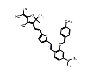 CCCCN(CCCC)c1ccc(/C=C/c2ccc(/C=C/C3=C(C#N)C(=C(C#N)C#N)OC3(C)C(F)(F)F)s2)c(OCc2ccc(OC)cc2)c1